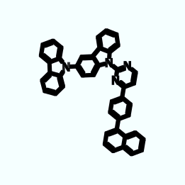 c1ccc2c(-c3ccc(-c4ccnc(-n5c6ccccc6c6cc(-n7c8ccccc8c8ccccc87)ccc65)n4)cc3)cccc2c1